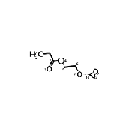 C=CC(=O)OCCOC1CO1